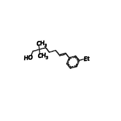 CCc1cccc(/C=C/CCCC(C)(C)CO)c1